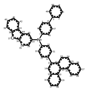 c1ccc(-c2ccc(N(c3ccc(-c4cc5ccccc5c5c4ccc4ccccc45)cc3)c3cnc4oc5ccccc5c4c3)cc2)cc1